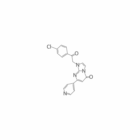 O=C(Cn1ccn2c(=O)cc(-c3ccncc3)nc12)c1ccc(Cl)cc1